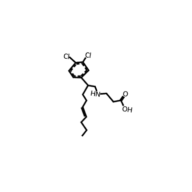 CCCC=CCCC(CNCCC(=O)O)c1ccc(Cl)c(Cl)c1